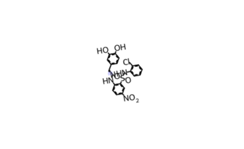 O=[N+]([O-])c1ccc(N/N=C/c2ccc(O)c(O)c2)c(S(=O)(=O)Nc2ccccc2Cl)c1